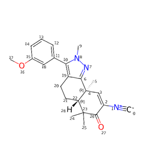 [C-]#[N+]C1=C[C@]2(C)c3nn(C)c(-c4cccc(OC)c4)c3CC[C@H]2C(C)(C)C1=O